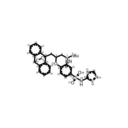 CCCCNCC(CC12CCC(c3ccccc31)c1ccccc12)Oc1ccc(S(=O)(=O)Nc2ncns2)cc1C#N